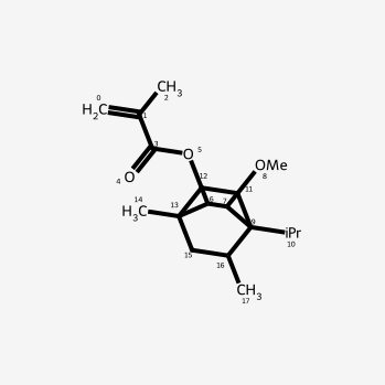 C=C(C)C(=O)OC1C(OC)C2(C(C)C)CCC1(C)CC2C